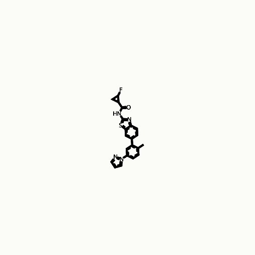 Cc1ccc(-n2cccn2)cc1-c1ccc2nc(NC(=O)C3CC3F)sc2c1